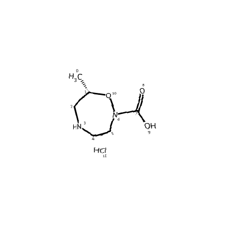 C[C@H]1CNCCN(C(=O)O)O1.Cl